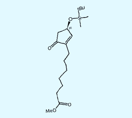 COC(=O)CCCCCCC1=C[C@H](O[Si](C)(C)C(C)(C)C)CC1=O